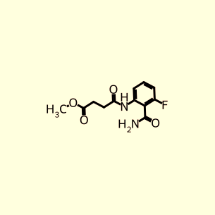 COC(=O)CCC(=O)Nc1cccc(F)c1C(N)=O